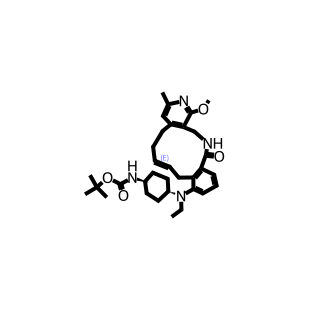 CCN(c1cccc2c1C/C=C/CCc1cc(C)nc(OC)c1CNC2=O)[C@H]1CC[C@H](NC(=O)OC(C)(C)C)CC1